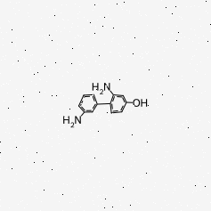 Nc1cccc(-c2ccc(O)cc2N)c1